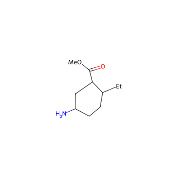 CCC1CCC(N)CC1C(=O)OC